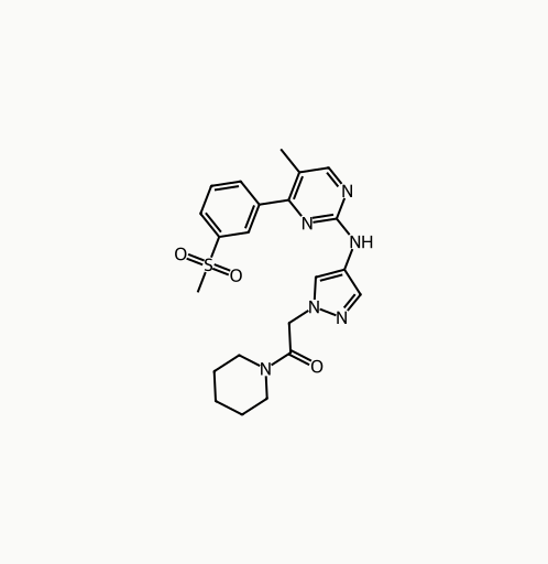 Cc1cnc(Nc2cnn(CC(=O)N3CCCCC3)c2)nc1-c1cccc(S(C)(=O)=O)c1